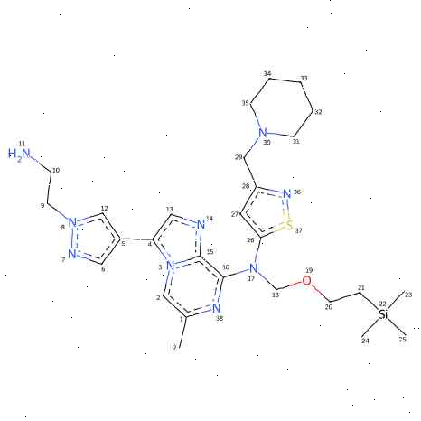 Cc1cn2c(-c3cnn(CCN)c3)cnc2c(N(COCC[Si](C)(C)C)c2cc(CN3CCCCC3)ns2)n1